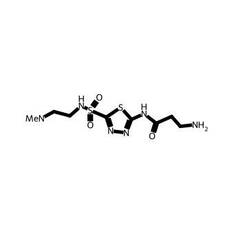 CNCCNS(=O)(=O)c1nnc(NC(=O)CCN)s1